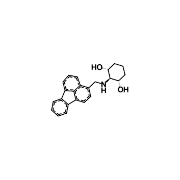 O[C@@H]1CCC[C@H](O)[C@H]1NCc1ccc2c3c(cccc13)-c1ccccc1-2